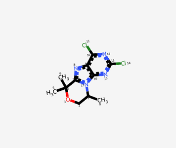 CC1COC(C)(C)c2nc3c(Cl)nc(Cl)nc3n21